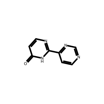 O=c1ccnc(-c2ccncn2)[nH]1